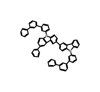 c1ccc(-c2cccc(-c3cccc(-n4c5ccccc5c5cc(-c6ccc7c(c6)c6cc(-c8ccccc8)ccc6n7-c6cccc(-c7cccc(-c8ccccc8)c7)c6)ccc54)c3)c2)cc1